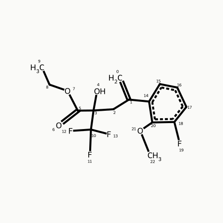 C=C(CC(O)(C(=O)OCC)C(F)(F)F)c1cccc(F)c1OC